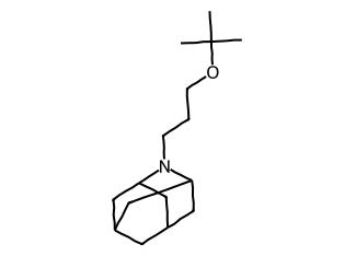 CC(C)(C)OCCCN1C2CC3CC(C2)CC1C3